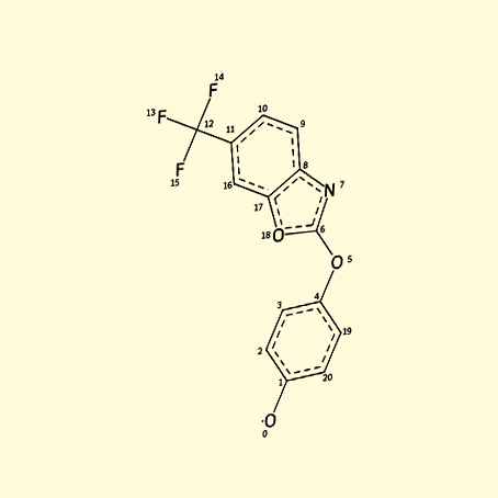 [O]c1ccc(Oc2nc3ccc(C(F)(F)F)cc3o2)cc1